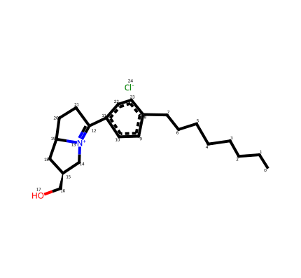 CCCCCCCCc1ccc(C2=[N+]3C[C@@H](CO)CC3CC2)cc1.[Cl-]